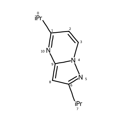 CC(C)c1ccn2nc(C(C)C)cc2n1